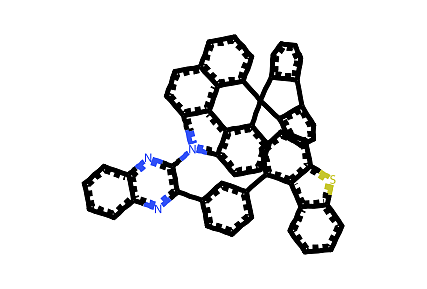 c1cc(-c2nc3ccccc3nc2-n2c3cccc4c3c3c5c(cccc5ccc32)C42c3ccccc3-c3ccccc32)cc(-c2cccc3sc4ccccc4c23)c1